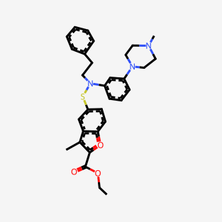 CCOC(=O)c1oc2ccc(SN(CCc3ccccc3)c3cccc(N4CCN(C)CC4)c3)cc2c1C